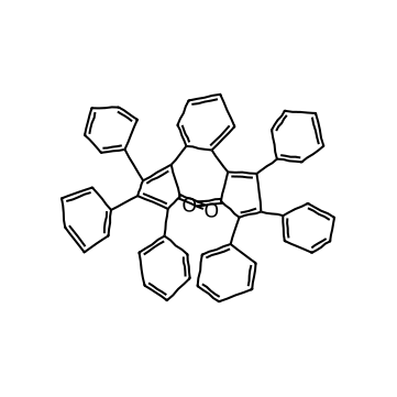 O=C1C(c2ccccc2)=C(c2ccccc2)C(c2ccccc2)=C1c1ccccc1C1=C(c2ccccc2)C(c2ccccc2)=C(c2ccccc2)C1=O